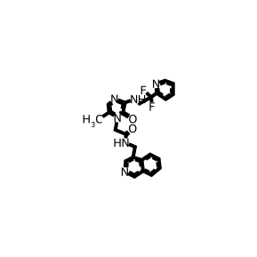 Cc1cnc(NCC(F)(F)c2ccccn2)c(=O)n1CC(=O)NCc1cncc2ccccc12